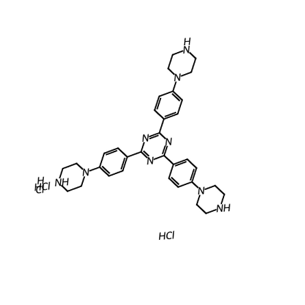 Cl.Cl.Cl.c1cc(N2CCNCC2)ccc1-c1nc(-c2ccc(N3CCNCC3)cc2)nc(-c2ccc(N3CCNCC3)cc2)n1